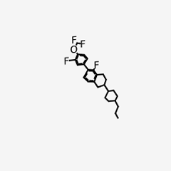 CCCC1CCC(C2CCc3c(ccc(-c4ccc(OC(F)F)c(F)c4)c3F)C2)CC1